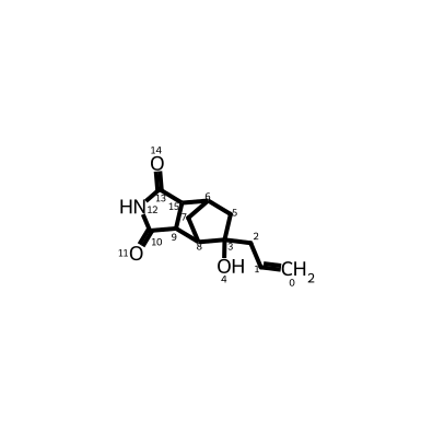 C=CCC1(O)CC2CC1C1C(=O)NC(=O)C21